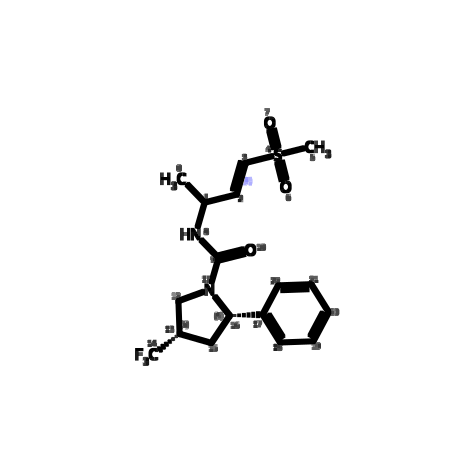 CC(/C=C/S(C)(=O)=O)NC(=O)N1C[C@@H](C(F)(F)F)C[C@H]1c1ccccc1